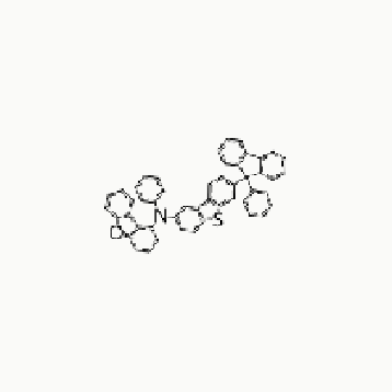 c1ccc(N(c2ccc3sc4cc(C5(c6ccccc6)c6ccccc6-c6ccccc65)ccc4c3c2)c2cccc3oc4ccccc4c23)cc1